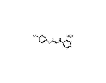 O=C(O)c1ccccc1NC=[SH]Cc1ccc(Cl)cc1